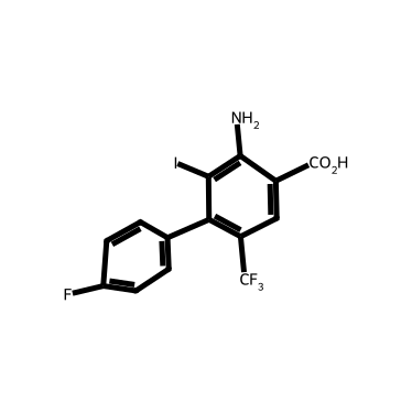 Nc1c(C(=O)O)cc(C(F)(F)F)c(-c2ccc(F)cc2)c1I